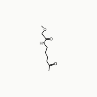 COCC(=O)NCCCCC(C)=O